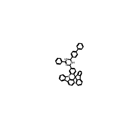 c1ccc(C2=NC(c3ccc4c(c3)-n3c5ccccc5c5cccc(c53)C43c4ccccc4-c4ccccc43)NC(c3ccc(-c4ccccc4)cc3)N2)cc1